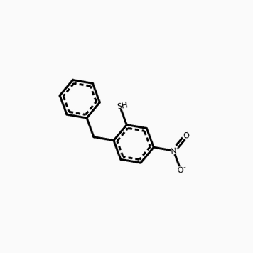 O=[N+]([O-])c1ccc(Cc2ccccc2)c(S)c1